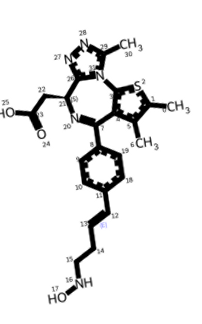 Cc1sc2c(c1C)C(c1ccc(/C=C/CCNO)cc1)=N[C@@H](CC(=O)O)c1nnc(C)n1-2